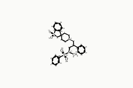 CN(CC(CN1CCC2(CC1)CS(=O)(=O)c1ccccc12)c1ccccc1)S(=O)(=O)c1ccccc1